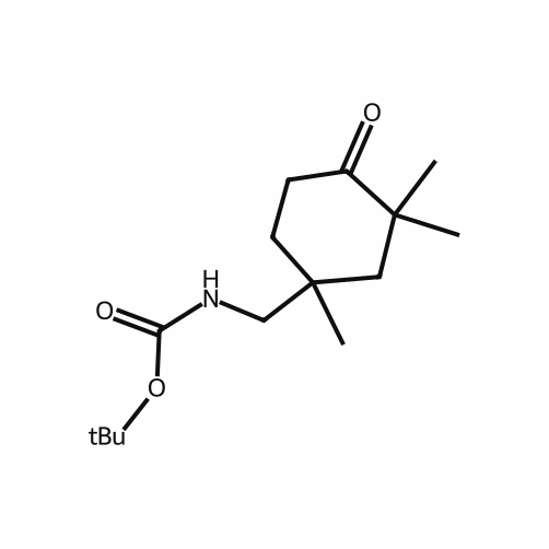 CC1(CNC(=O)OC(C)(C)C)CCC(=O)C(C)(C)C1